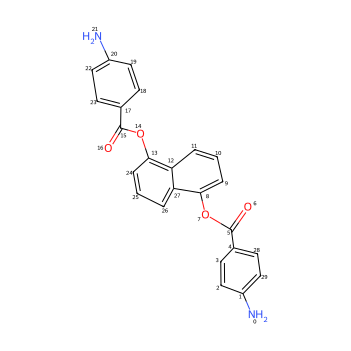 Nc1ccc(C(=O)Oc2cccc3c(OC(=O)c4ccc(N)cc4)cccc23)cc1